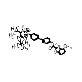 Cc1cccc2oc(C(=O)Nc3ccc(-c4ccc(S(=O)(=O)NC(C(=O)OC(C)(C)C)C(C)C)cc4)cc3)nc12